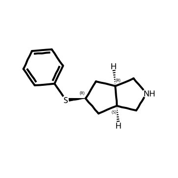 c1ccc(S[C@H]2C[C@H]3CNC[C@H]3C2)cc1